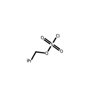 CC(C)COS(=O)(=O)Cl